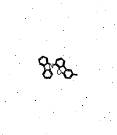 Cc1ccc2oc3c(-n4c5ccccc5c5ccccc54)cccc3c2c1